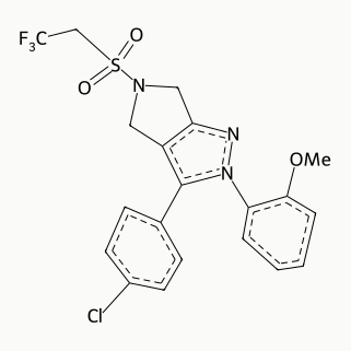 COc1ccccc1-n1nc2c(c1-c1ccc(Cl)cc1)CN(S(=O)(=O)CC(F)(F)F)C2